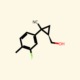 Cc1ccc(C2(C#N)C[C@H]2CO)cc1F